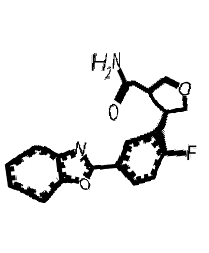 NC(=O)C1COCC1c1cc(-c2nc3ccccc3o2)ccc1F